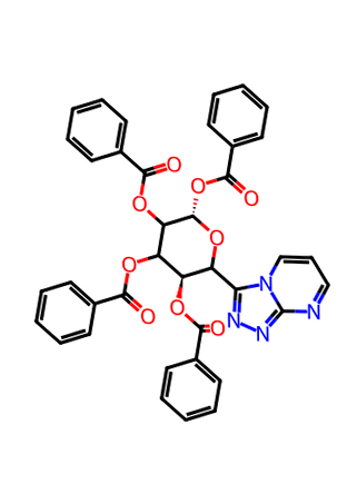 O=C(OC1C(OC(=O)c2ccccc2)[C@H](OC(=O)c2ccccc2)C(c2nnc3ncccn23)O[C@H]1OC(=O)c1ccccc1)c1ccccc1